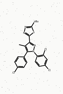 CCCCc1nnc(-c2nn(-c3ccc(Cl)cc3Cl)c(-c3ccc(Cl)cc3)c2C)s1